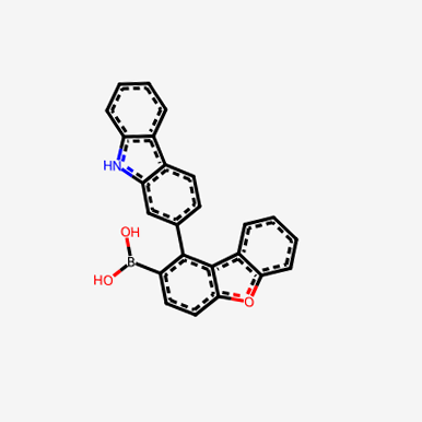 OB(O)c1ccc2oc3ccccc3c2c1-c1ccc2c(c1)[nH]c1ccccc12